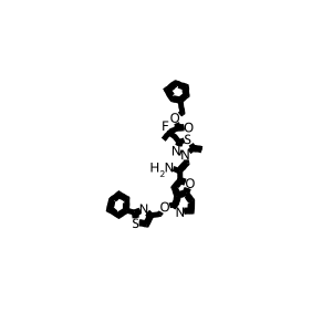 C=C1SC(C(C)(F)C(=O)OCc2ccccc2)=NN1/C=C(\N)c1cc2c(OCc3csc(-c4ccccc4)n3)nccc2o1